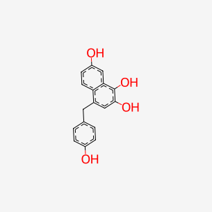 Oc1ccc(Cc2cc(O)c(O)c3cc(O)ccc23)cc1